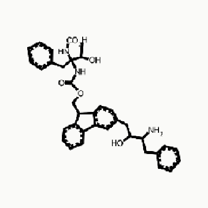 CC(O)C(Cc1ccccc1)(NC(=O)O)NC(=O)OCC1c2ccccc2-c2cc(CC(O)C(N)Cc3ccccc3)ccc21